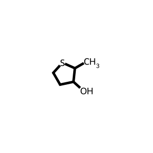 CC1SCCC1O